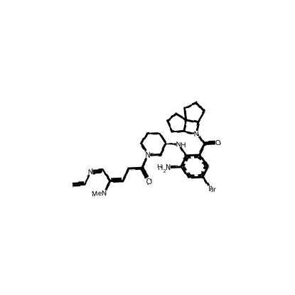 C=C/N=C\C(=C/CC(=O)N1CCC[C@@H](Nc2c(N)cc(Br)cc2C(=O)N2C3CCCC34CCCC24)C1)NC